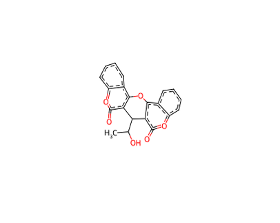 CC(O)C1c2c(c3ccccc3oc2=O)Oc2c1c(=O)oc1ccccc21